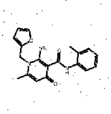 CCCCc1c(C(=O)Nc2ccccc2C)c(=O)cc(C)n1Cc1ccco1